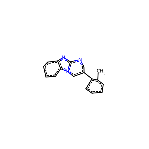 Cc1ccccc1-c1cnc2nc3ccccc3n2c1